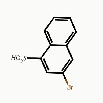 O=S(=O)(O)c1cc(Br)cc2ccccc12